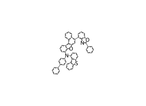 c1ccc(-c2ccc(N(c3cccc4c3oc3cc(-c5cccc6oc(-c7ccccc7)nc56)c5ccccc5c34)c3cccc4sc5ccccc5c34)cc2)cc1